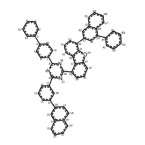 c1ccc(-c2ccc(-c3nc(-c4cccc(-c5ccc6ccccc6c5)c4)nc(-c4cccc5oc6c(-c7cc(-c8ccccc8)c8ccccc8c7)cccc6c45)n3)cc2)cc1